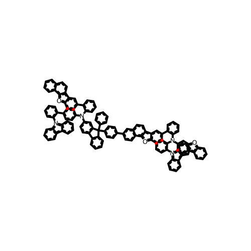 c1ccc(C2(c3ccc(-c4ccc5c(ccc6c7cc(-c8ccccc8N(c8ccc9c(c8)oc8ccccc89)c8ccccc8-n8c9ccccc9c9ccccc98)ccc7oc56)c4)cc3)c3ccccc3-c3ccc(N(c4ccc(-c5ccccc5-n5c6ccccc6c6ccccc65)cc4)c4ccccc4-c4ccc5oc6c7ccccc7ccc6c5c4)cc32)cc1